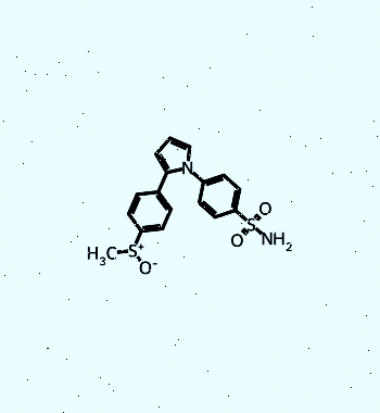 C[S+]([O-])c1ccc(-c2cccn2-c2ccc(S(N)(=O)=O)cc2)cc1